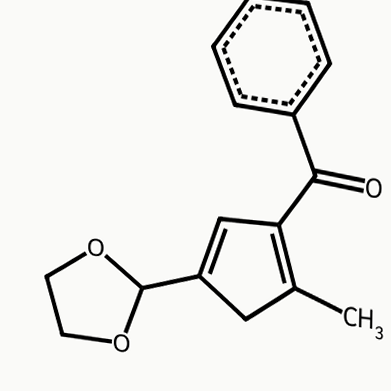 CC1=C(C(=O)c2ccccc2)C=C(C2OCCO2)C1